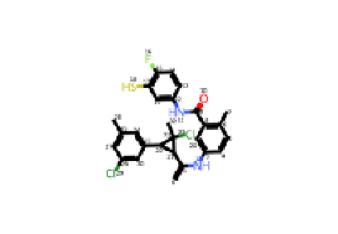 C=C(Nc1ccc(C)c(C(=O)Nc2ccc(F)c(S)c2)c1)C1C(c2cc(C)cc(Cl)c2)C1(C)Cl